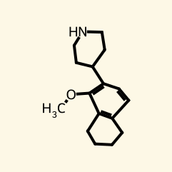 COc1c(C2CCNCC2)ccc2c1CCCC2